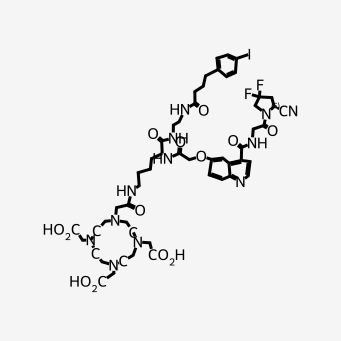 N#C[C@@H]1CC(F)(F)CN1C(=O)CNC(=O)c1ccnc2ccc(OCC(=O)NC(CCCCNC(=O)CN3CCN(CC(=O)O)CCN(CC(=O)O)CCN(CC(=O)O)CC3)C(=O)NCCNC(=O)CCCc3ccc(I)cc3)cc12